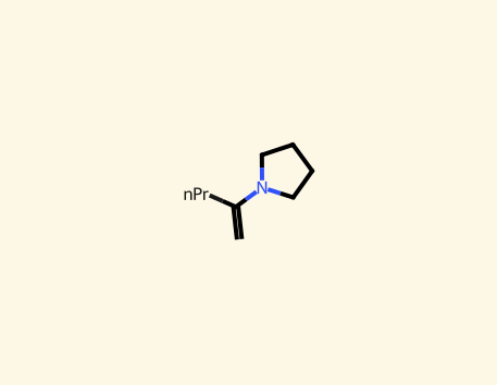 C=C(CCC)N1CCCC1